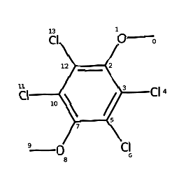 COc1c(Cl)c(Cl)c(OC)c(Cl)c1Cl